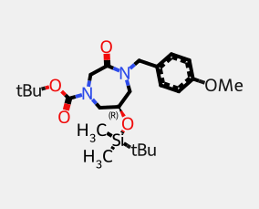 COc1ccc(CN2C[C@@H](O[Si](C)(C)C(C)(C)C)CN(C(=O)OC(C)(C)C)CC2=O)cc1